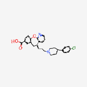 O=C(O)c1ccc2c(c1)C/C(=C/CCN1CCC(c3ccc(Cl)cc3)CC1)c1cccnc1O2